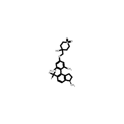 Cc1cc(OCC2(O)CCS(=O)(=O)CC2)cc(C)c1-c1c(C(F)(F)F)ccc2c1CC[C@H]2C